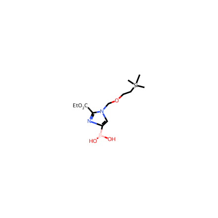 CCOC(=O)c1nc(B(O)O)cn1COCC[Si](C)(C)C